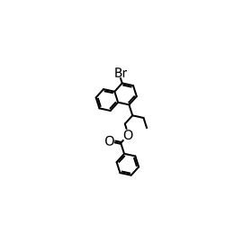 CCC(COC(=O)c1ccccc1)c1ccc(Br)c2ccccc12